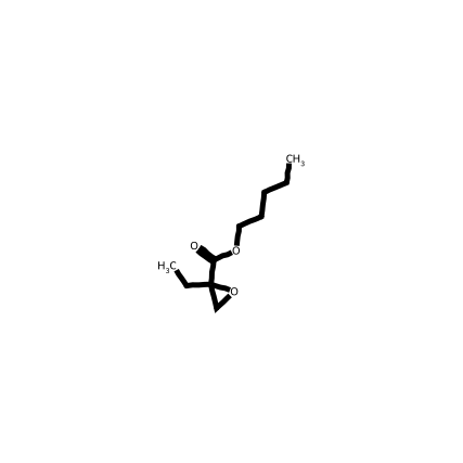 CCCCCOC(=O)C1(CC)CO1